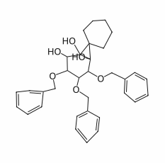 OC1C(OCc2ccccc2)C(OCc2ccccc2)C(OCc2ccccc2)C2(O)C3(CCCCC3)C12O